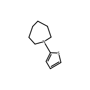 c1csc(N2CCCCCC2)c1